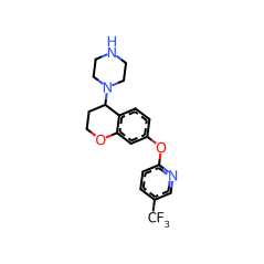 FC(F)(F)c1ccc(Oc2ccc3c(c2)OCCC3N2CCNCC2)nc1